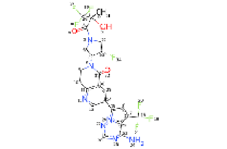 C[C@@](O)(C(=O)N1C[C@@H](N2CCc3ncc(-c4cc(C(F)(F)F)c5c(N)ncnn45)cc3C2=O)[C@@H](F)C1)C(F)(F)F